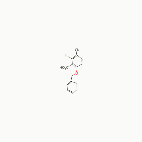 N#Cc1ccc(OCc2ccccc2)c(C(=O)O)c1F